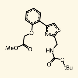 COC(=O)COc1ccccc1-c1csc(CNC(=O)OC(C)(C)C)n1